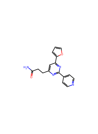 NC(=O)CCc1cc(-c2ccco2)nc(-c2ccncc2)n1